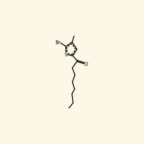 CCCCCCCC(=O)c1cc(C)c(Br)s1